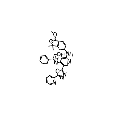 COB1OC(C)(C)c2cc(Nc3cc(N[C@H](CO)c4ccccc4)c(-c4nnc(-c5ccccn5)o4)cn3)ccc21